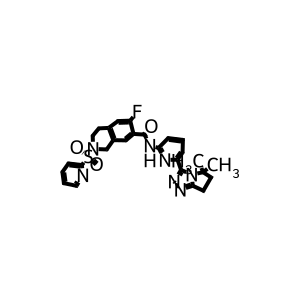 CC1(C)CCc2nnc(-c3cccc(NC(=O)c4cc5c(cc4F)CCN(S(=O)(=O)c4ccccn4)C5)n3)n21